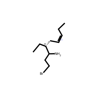 CC/C=C\C[C@@H](CC)C(N)CCBr